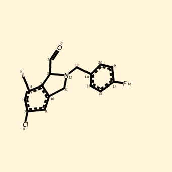 O=CC1c2c(I)cc(Cl)cc2CN1Cc1ccc(F)cc1